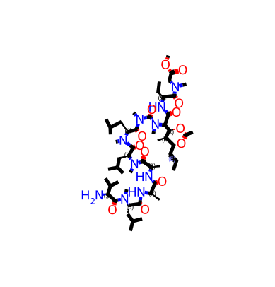 C/C=C/C[C@@H](C)[C@@H](OC(C)=O)C(C(=O)N[C@@H](CC)C(=O)N(C)CC(=O)OC)N(C)C(=O)N(C)C(=O)[C@H](CC(C)C)N(C)C(=O)[C@H](CC(C)C)N(C)C(=O)[C@@H](C)NC(=O)[C@@H](C)NC(=O)[C@H](CC(C)C)N(C)C(=O)[C@@H](N)C(C)C